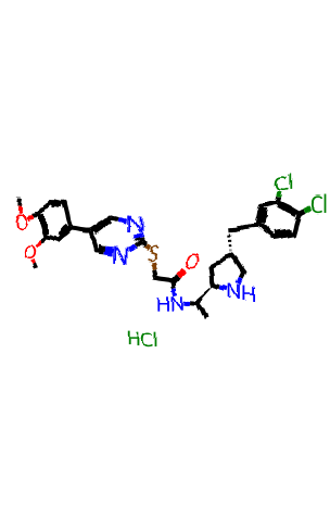 COc1ccc(-c2cnc(SCC(=O)NC(C)[C@H]3C[C@H](Cc4ccc(Cl)c(Cl)c4)CN3)nc2)cc1OC.Cl